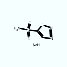 NS(=O)(=O)c1cnns1.[NaH]